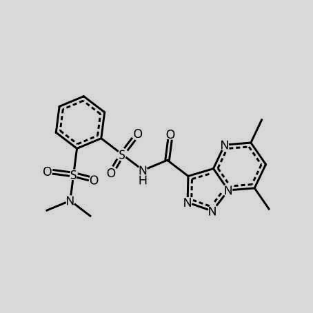 Cc1cc(C)n2nnc(C(=O)NS(=O)(=O)c3ccccc3S(=O)(=O)N(C)C)c2n1